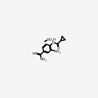 CS(=O)(=O)O.N=C(N)c1ccc(OC(=O)C2CC2)c([N+](=O)[O-])c1